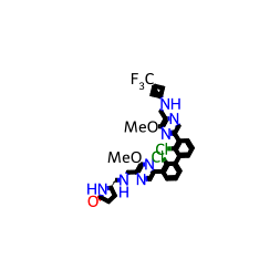 COc1nc(-c2cccc(-c3cccc(-c4cnc(CNC56CC(C(F)(F)F)(C5)C6)c(OC)n4)c3Cl)c2Cl)cnc1CNC[C@@H]1CCC(=O)N1